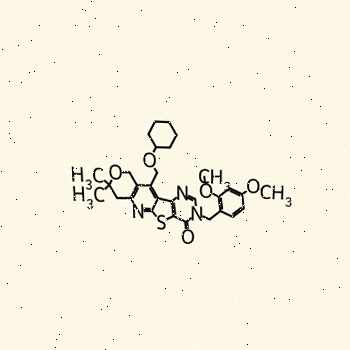 COc1ccc(Cn2cnc3c(sc4nc5c(c(COC6CCCCC6)c43)COC(C)(C)C5)c2=O)c(OC)c1